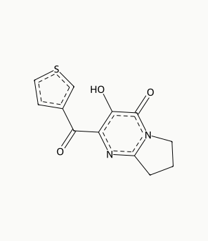 O=C(c1ccsc1)c1nc2n(c(=O)c1O)CCC2